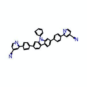 N#Cc1ccnc(-c2ccc(-c3ccc4c5ccc(-c6ccc(-c7cc(C#N)ccn7)cc6)cc5n(-c5ccccc5)c4c3)cc2)c1